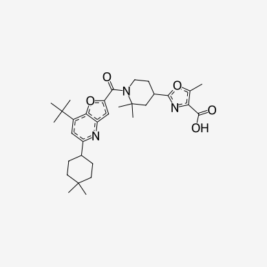 Cc1oc(C2CCN(C(=O)c3cc4nc(C5CCC(C)(C)CC5)cc(C(C)(C)C)c4o3)C(C)(C)C2)nc1C(=O)O